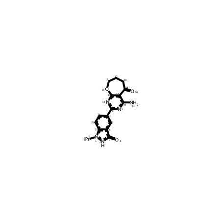 CC(C)n1[nH]c(=O)c2cc(-c3nc(N)c4c(n3)OCCCC4=O)ccc21